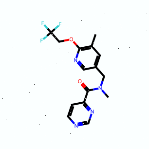 Cc1cc(CN(C)C(=O)c2ccncn2)cnc1OCC(F)(F)F